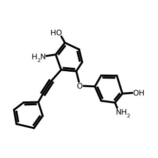 Nc1cc(Oc2ccc(O)c(N)c2C#Cc2ccccc2)ccc1O